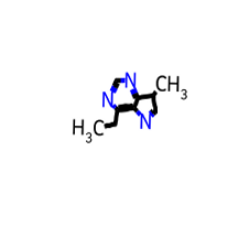 CCc1ncnc2c1N=CC2C